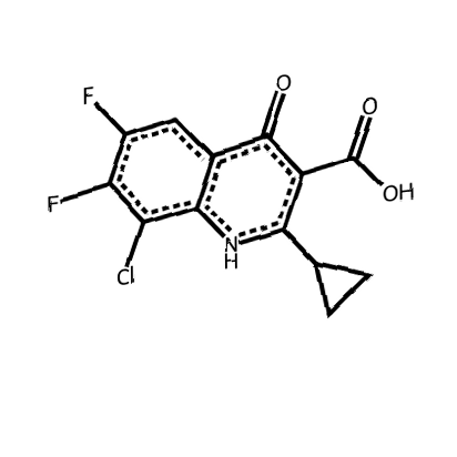 O=C(O)c1c(C2CC2)[nH]c2c(Cl)c(F)c(F)cc2c1=O